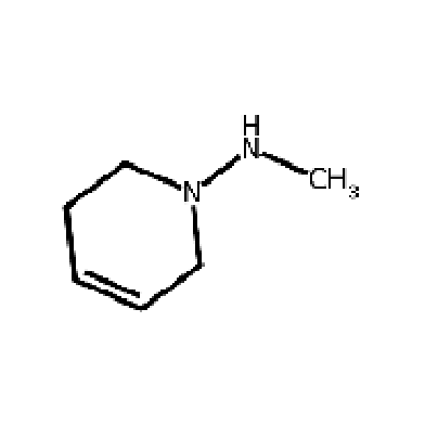 CNN1CC=CCC1